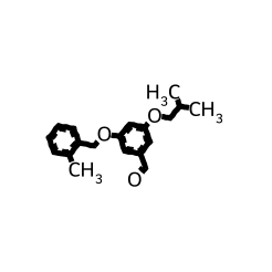 Cc1ccccc1COc1cc(C=O)cc(OCC(C)C)c1